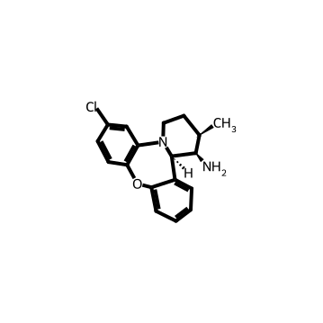 C[C@@H]1CCN2c3cc(Cl)ccc3Oc3ccccc3[C@@H]2[C@@H]1N